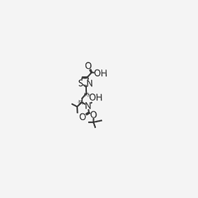 CC(C)[C@@H](C[C@@H](O)c1nc(C(=O)O)cs1)N(C)C(=O)OC(C)(C)C